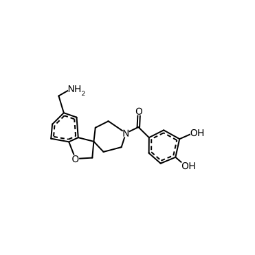 NCc1ccc2c(c1)C1(CCN(C(=O)c3ccc(O)c(O)c3)CC1)CO2